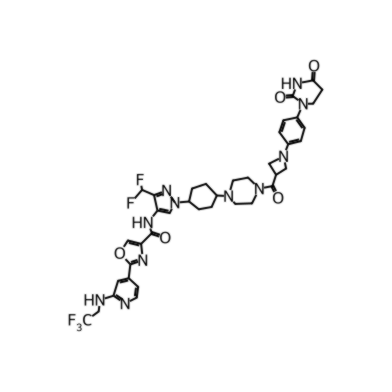 O=C1CCN(c2ccc(N3CC(C(=O)N4CCN(C5CCC(n6cc(NC(=O)c7coc(-c8ccnc(NCC(F)(F)F)c8)n7)c(C(F)F)n6)CC5)CC4)C3)cc2)C(=O)N1